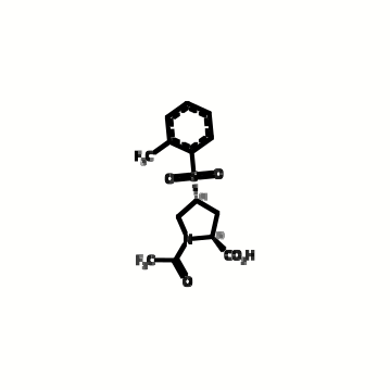 O=C(O)[C@@H]1C[C@@H](S(=O)(=O)c2ccccc2C(F)(F)F)CN1C(=O)C(F)(F)F